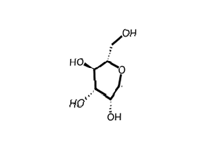 OC[C@@H]1O[CH][C@H](O)[C@H](O)[C@H]1O